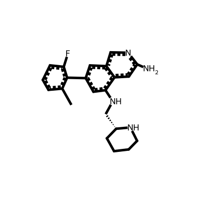 Cc1cccc(F)c1-c1cc(NC[C@H]2CCCCN2)c2cc(N)ncc2c1